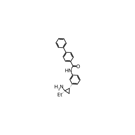 CC[C@@]1(N)C[C@H]1c1cccc(NC(=O)c2ccc(-c3ccccc3)cc2)c1